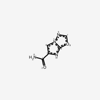 NC(=O)c1cn2ncoc2n1